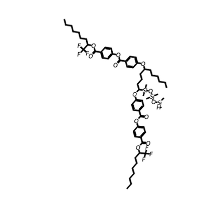 CCCCCCCC(OC(=O)c1ccc(OC(=O)c2ccc(OC(CCCCCC)CCCC(Oc3ccc(C(=O)Oc4ccc(C(=O)OC(CCCCCCC)C(F)(F)F)cc4)cc3)[Si](C)(C)O[Si](C)(C)O[SiH](C)C)cc2)cc1)C(F)(F)F